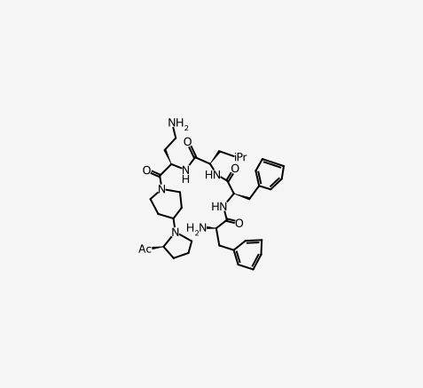 CC(=O)[C@@H]1CCCN1C1CCN(C(=O)[C@@H](CCN)NC(=O)[C@@H](CC(C)C)NC(=O)[C@@H](Cc2ccccc2)NC(=O)[C@H](N)Cc2ccccc2)CC1